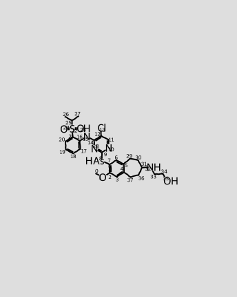 COc1cc2c(cc1[AsH]c1ncc(Cl)c(Nc3ccccc3S(=O)(=O)C(C)C)n1)CCC(NCCO)CC2